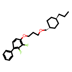 CCC[C@H]1CC[C@H](COCCCOc2ccc(-c3ccccc3)c(F)c2F)CC1